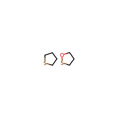 C1CCSC1.C1COSC1